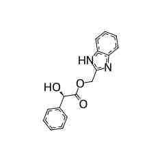 O=C(OCc1nc2ccccc2[nH]1)[C@H](O)c1ccccc1